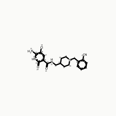 N#Cc1ccccc1CN1CCC(CNC(=O)c2cc(Cl)c(N)[nH]c2=O)CC1